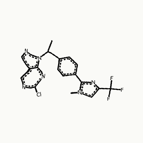 CC(c1ccc(-c2nc(C(F)(F)F)cn2C)cc1)n1ncc2cnc(Cl)nc21